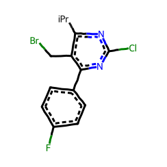 CC(C)c1nc(Cl)nc(-c2ccc(F)cc2)c1CBr